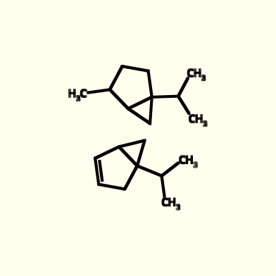 CC(C)C12CC=CC1C2.CC1CCC2(C(C)C)CC12